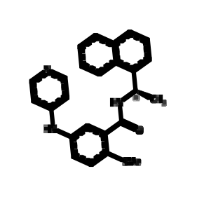 CSc1ccc(Nc2ccncc2)cc1C(=O)N[C@H](C)c1cccc2ccccc12